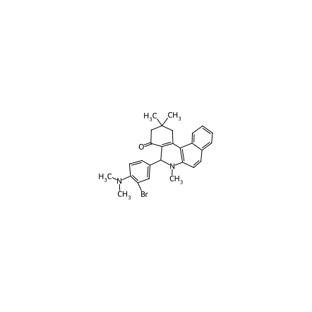 CN(C)c1ccc(C2C3=C(CC(C)(C)CC3=O)c3c(ccc4ccccc34)N2C)cc1Br